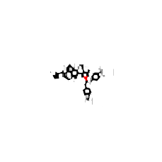 COc1ccc(CN(Cc2ccc(OC)cc2)c2cc(C)c(C(F)(F)F)c(-c3cc4ncnc5c4c(c3Cl)OCCN5Cc3ccns3)n2)cc1